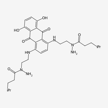 CC(C)CCC(=O)N(N)CCNc1ccc(NCCN(N)C(=O)CCC(C)C)c2c1C(=O)c1c(O)ccc(O)c1C2=O